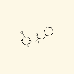 O=C(CC1CCCCC1)Nc1cc(Cl)ccn1